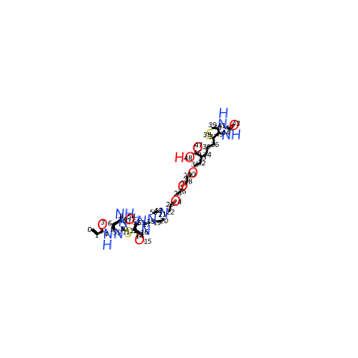 C=CC(=O)Nc1cc(N)nc(Sc2c(OC)nc(N3CCN(CCOCCOCCOCCC(CCCC4SCC5NC(=O)NC54)C(=O)O)CC3)nc2OC)n1